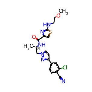 COCCNc1nc(C(=O)N[C@H](C)Cn2ccc(-c3ccc(C#N)c(Cl)c3)n2)cs1